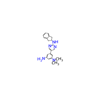 CN(C)c1cc(N)cc(-c2cnc(NC3Cc4ccccc4C3)nc2)c1